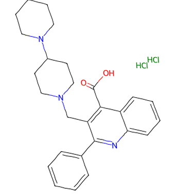 Cl.Cl.O=C(O)c1c(CN2CCC(N3CCCCC3)CC2)c(-c2ccccc2)nc2ccccc12